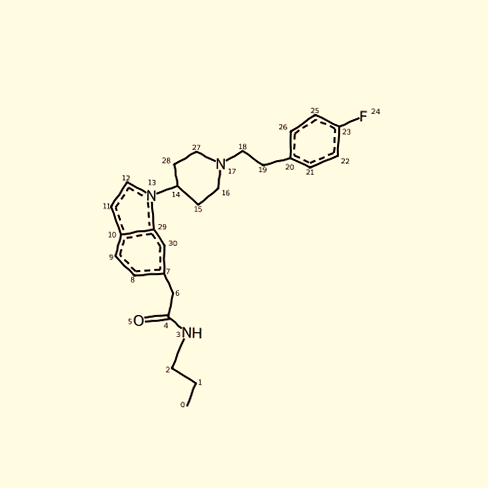 CCCNC(=O)Cc1ccc2ccn(C3CCN(CCc4ccc(F)cc4)CC3)c2c1